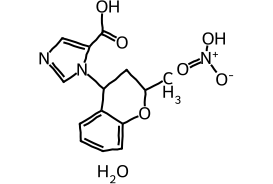 CC1CC(n2cncc2C(=O)O)c2ccccc2O1.O.O=[N+]([O-])O